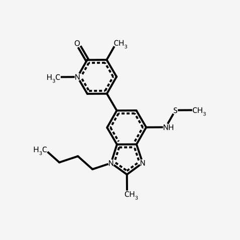 CCCCn1c(C)nc2c(NSC)cc(-c3cc(C)c(=O)n(C)c3)cc21